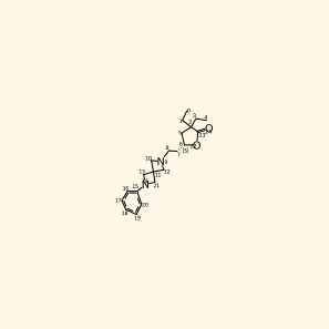 CCC1(CC)C[C@@H](CCN2CC3(C2)CN(c2ccccc2)C3)OC1=O